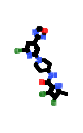 Cc1[nH]c(C(=O)NC2CCN(c3cc(-c4ncon4)cc(Cl)n3)CC2)c(Cl)c1Cl